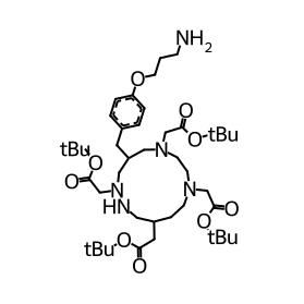 CC(C)(C)OC(=O)CC1CCN(CC(=O)OC(C)(C)C)CCN(CC(=O)OC(C)(C)C)CC(Cc2ccc(OCCCN)cc2)CN(CC(=O)OC(C)(C)C)NC1